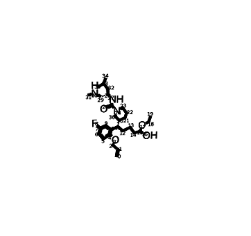 C=CCOc1ccc(F)cc1C(CCCC(O)OCC)[C@H]1CCCN(C(=O)N[C@H](CNC)CC(C)C)C1